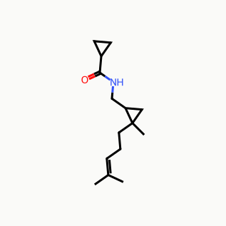 CC(C)=CCCC1(C)CC1CNC(=O)C1CC1